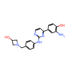 Nc1cc(-c2ccnc(Nc3ccc(CN4CC(O)C4)cc3)n2)ccc1O